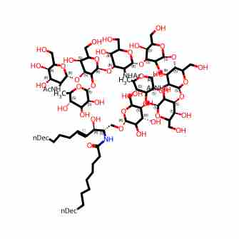 CCCCCCCCCCCCC/C=C/[C@@H](O)[C@H](CO[C@@H]1OC(CO)[C@@H](O[C@@H]2OC(CO)[C@H](O)[C@H](O[C@@H]3OC(CO)[C@@H](O[C@@H]4OC(CO)[C@H](O)[C@H](O[C@H]5OC(CO)[C@H](O)[C@H](O[C@@H]6OC(CO)[C@H](O)[C@H](O[C@H]7OC(CO)[C@H](O)[C@H](O)C7NC(C)=O)C6O[C@H]6OC(C)[C@@H](O)C(O)[C@@H]6O)C5NC(C)=O)C4O[C@H]4OC(C)[C@@H](O)C(O)[C@@H]4O)[C@H](O)C3NC(C)=O)C2O)[C@H](O)C1O)NC(=O)CCCCCCCCCCCCCCCCC